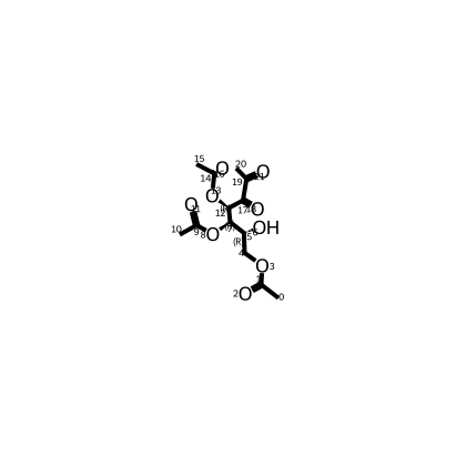 CC(=O)OC[C@@H](O)[C@@H](OC(C)=O)[C@@H](OC(C)=O)C(=O)C(C)=O